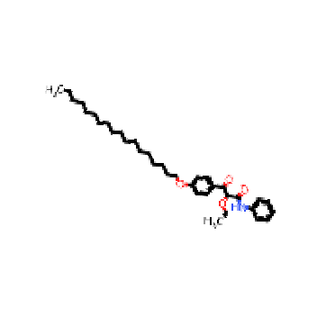 CCCCCCCCCCCCCCCCCCOc1ccc(C(=O)C(OCC)C(=O)Nc2ccccc2)cc1